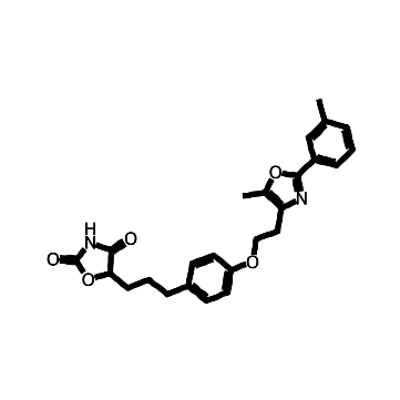 Cc1cccc(-c2nc(CCOc3ccc(CCCC4OC(=O)NC4=O)cc3)c(C)o2)c1